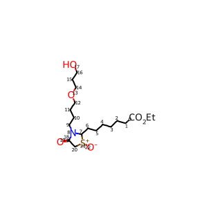 CCOC(=O)CCCCCCC1N(CCCCOCCCO)C(=O)C[S+]1[O-]